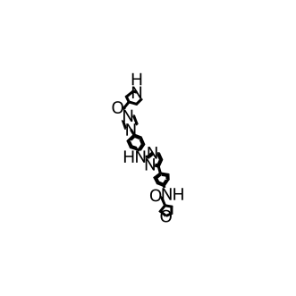 O=C(Nc1ccc(-c2ccnc(Nc3ccc(N4CCN(C(=O)C5CCNCC5)CC4)cc3)n2)cc1)C1CCOC1